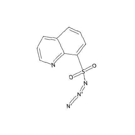 [N-]=[N+]=NS(=O)(=O)c1cccc2cccnc12